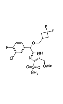 COCc1[nH]c(C(OCC2CC(F)(F)C2)c2ccc(F)c(Cl)c2)nc1S(N)(=O)=O